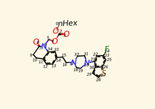 CCCCCCOC(=O)OCN1C(=O)CCc2ccc(CCN3CCN(c4cc(F)cc5sccc45)CC3)cc21